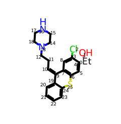 CCO.Clc1ccc2c(c1)C(=CCCN1CCNCC1)c1ccccc1S2